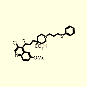 COc1ccc2ncc(Cl)c([C@H](F)CCC3(C(=O)O)CCN(CCCSc4ccccc4)CC3)c2c1